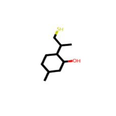 CC1CCC(C(C)CS)C(O)C1